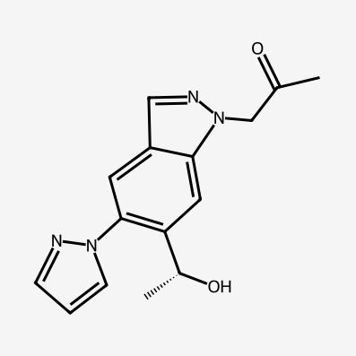 CC(=O)Cn1ncc2cc(-n3cccn3)c([C@@H](C)O)cc21